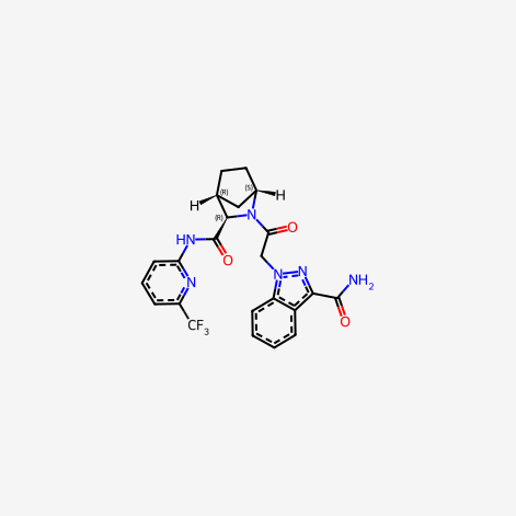 NC(=O)c1nn(CC(=O)N2[C@H]3CC[C@H](C3)[C@@H]2C(=O)Nc2cccc(C(F)(F)F)n2)c2ccccc12